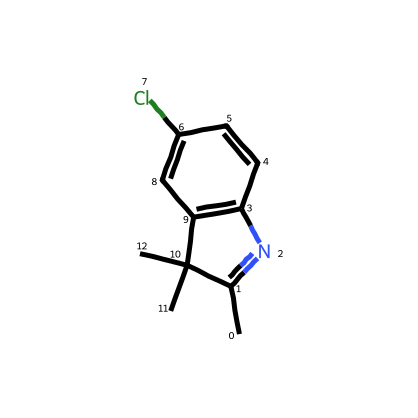 CC1=Nc2ccc(Cl)cc2C1(C)C